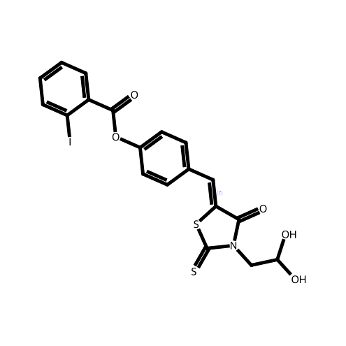 O=C(Oc1ccc(/C=C2\SC(=S)N(CC(O)O)C2=O)cc1)c1ccccc1I